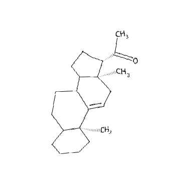 CC(=O)[C@H]1CCC2C3CCC4CCCC[C@]4(C)C3=CC[C@@]21C